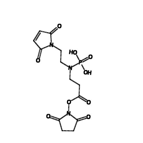 O=C(CCN(CCN1C(=O)C=CC1=O)P(=O)(O)O)ON1C(=O)CCC1=O